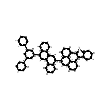 c1ccc(-c2cc(-c3ccccc3)cc(-c3cc4c5ccccc5c(-c5cc6cccc7c8c9ccccc9oc8c8cccc5c8c67)cc4c4ccccc34)c2)cc1